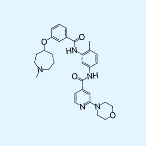 Cc1ccc(NC(=O)c2ccnc(N3CCOCC3)c2)cc1NC(=O)c1cccc(OC2CCCN(C)CC2)c1